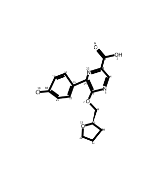 O=C(O)c1cnc(OC[C@H]2CCCO2)c(-c2ccc(Cl)cc2)n1